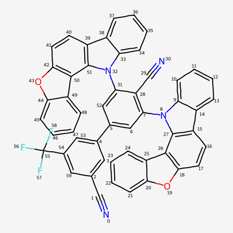 N#Cc1cc(-c2cc(-n3c4ccccc4c4ccc5oc6ccccc6c5c43)c(C#N)c(-n3c4ccccc4c4ccc5oc6ccccc6c5c43)c2)cc(C(F)(F)F)c1